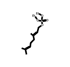 CCOP(=O)(OCC)OC/C=C(\C)CCC=C(C)C